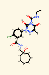 CCNC(=O)n1c(=O)c(C)nn(-c2ccc(Cl)c(C(=O)NCC3(O)CCCCCC3)c2)c1=O